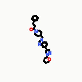 O=C(CCc1ccccc1)N1CCC(Cn2cnc3cc(-c4cnn(C5CCCCO5)c4)ccc32)CC1